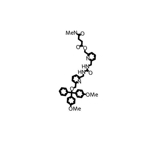 CNC(=O)CCC(=O)OCc1cccc(CNC(=O)NCc2cccc(COC(c3ccccc3)(c3ccc(OC)cc3)c3ccc(OC)cc3)n2)n1